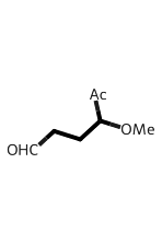 COC(CCC=O)C(C)=O